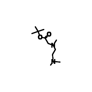 CN(C)CCN(C)CC(=O)OC(C)(C)C